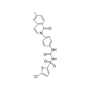 Cc1ccc2c(=O)n(-c3ccc(NC(=O)NS(=O)(=O)c4ccc(Cl)s4)cc3)ccc2c1